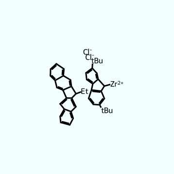 CC(C)(C)c1ccc2c(c1)[CH]([Zr+2])c1cc(C(C)(C)C)ccc1-2.CCC1c2cc3ccccc3cc2-c2cc3ccccc3cc21.[Cl-].[Cl-]